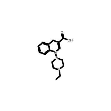 CCN1CCN(N2C=C(C(=O)O)Cc3ccccc32)CC1